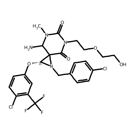 CN1C(=O)N(CCOCCO)C(=O)C2(C1N)[C@@H](Oc1ccc(Cl)c(C(F)(F)F)c1)N2Cc1ccc(Cl)cc1